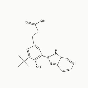 CC(C)(C)c1cc(CCC(=O)O)cc(N2N=C3C=CC=CC3N2)c1O